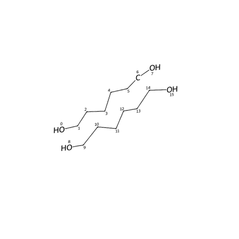 OCCCCCCO.OCCCCCCO